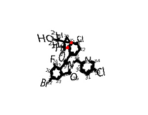 [2H]C([2H])(O)C1(C([2H])([2H])OC2(c3ccc(Cl)cc3)c3c(F)cc(Br)cc3C(=O)N2Cc2ccc(Cl)cn2)CC1